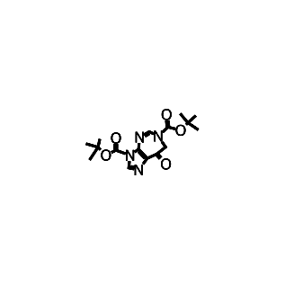 CC(C)(C)OC(=O)N1C=Nc2c(ncn2C(=O)OC(C)(C)C)C(=O)C1